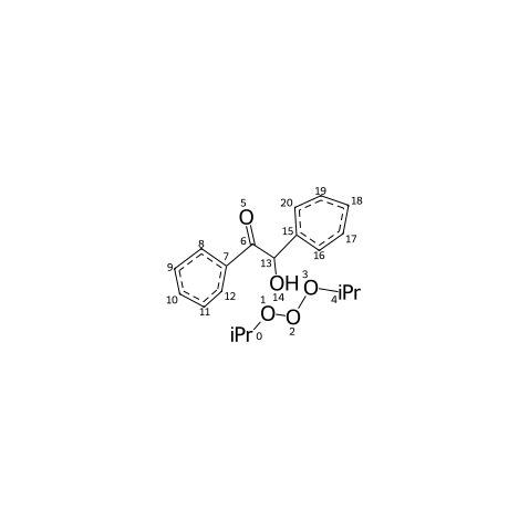 CC(C)OOOC(C)C.O=C(c1ccccc1)C(O)c1ccccc1